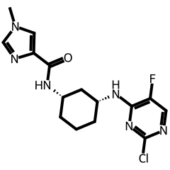 Cn1cnc(C(=O)N[C@H]2CCC[C@@H](Nc3nc(Cl)ncc3F)C2)c1